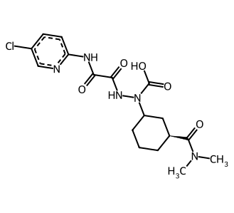 CN(C)C(=O)[C@H]1CCCC(N(NC(=O)C(=O)Nc2ccc(Cl)cn2)C(=O)O)C1